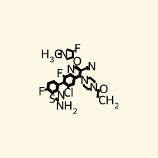 C=CC(=O)N1CCN(c2c(C#N)c(O[C@@H]3CN(C)C[C@H]3F)nc3c(F)c(-c4ccc(F)c5sc(N)nc45)c(Cl)cc23)CC1